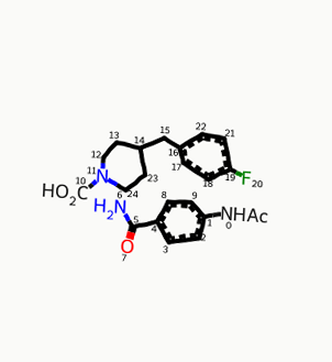 CC(=O)Nc1ccc(C(N)=O)cc1.O=C(O)N1CCC(Cc2ccc(F)cc2)CC1